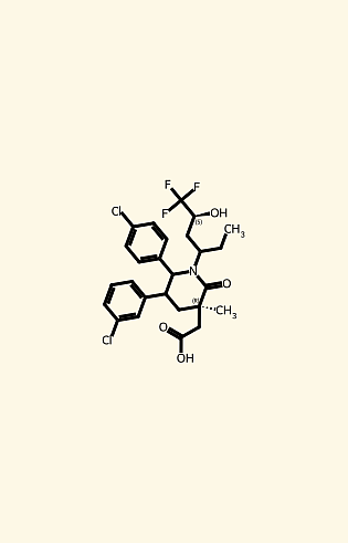 CCC(C[C@H](O)C(F)(F)F)N1C(=O)[C@@](C)(CC(=O)O)CC(c2cccc(Cl)c2)C1c1ccc(Cl)cc1